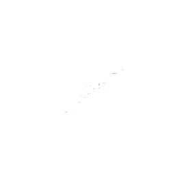 NP(O)O.OCCOCCOCCOCCOCCOCCO